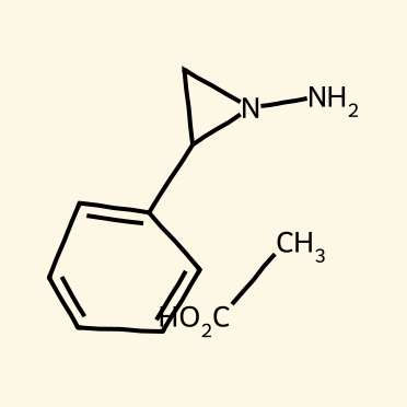 CC(=O)O.NN1CC1c1ccccc1